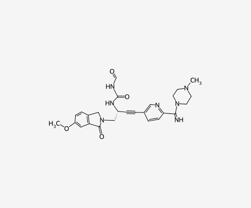 COc1ccc2c(c1)C(=O)N(C[C@@H](C#Cc1ccc(C(=N)N3CCN(C)CC3)nc1)NC(=O)NC=O)C2